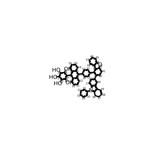 Oc1c(O)c(O)c(-c2c3ccccc3c(-c3ccc(-c4c(-c5ccc6c(c5)c5c(n6-c6ccccc6)CCC=C5)ccc5oc6ccccc6c45)cc3)c3ccccc23)c(O)c1O